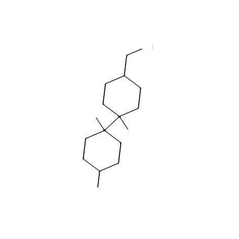 CCC1CCC(C)(C2(C)CCC(I)CC2)CC1